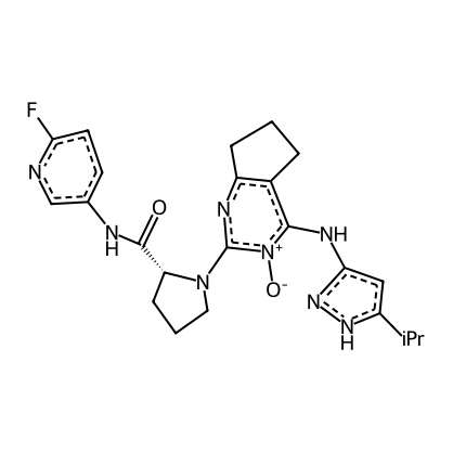 CC(C)c1cc(Nc2c3c(nc(N4CCC[C@@H]4C(=O)Nc4ccc(F)nc4)[n+]2[O-])CCC3)n[nH]1